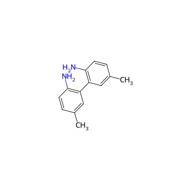 Cc1ccc(N)c(-c2cc(C)ccc2N)c1